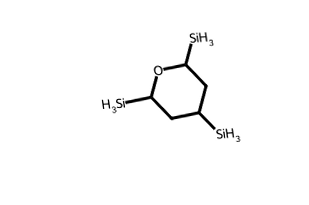 [SiH3]C1CC([SiH3])OC([SiH3])C1